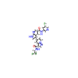 O=C(Nc1cncc(F)c1)c1cnc2[nH]cc(-c3ccn4ncc(C(=O)NCC(F)F)c4c3)c2c1